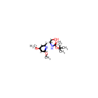 COc1cc(C[C@H](CO)NC(=O)OC(C)(C)C)nc(OC)c1